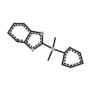 C[Si](C)(c1ccccc1)c1nc2ccccc2s1